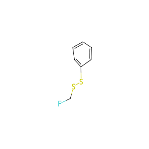 FCSSc1ccccc1